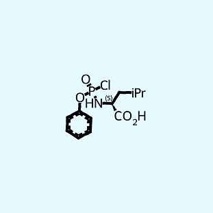 CC(C)C[C@H](NP(=O)(Cl)Oc1ccccc1)C(=O)O